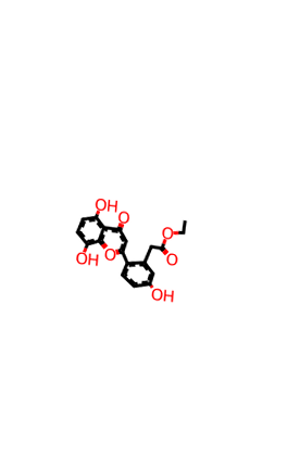 CCOC(=O)Cc1cc(O)ccc1-c1cc(=O)c2c(O)ccc(O)c2o1